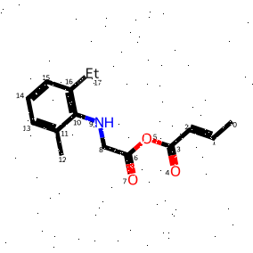 CC=CC(=O)OC(=O)CNc1c(C)cccc1CC